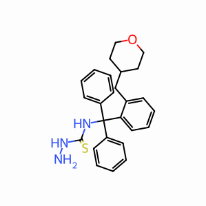 NNC(=S)NC(c1ccccc1)(c1ccccc1)c1ccccc1CC1CCOCC1